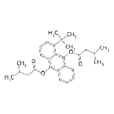 CC(C)CC(=O)Oc1c2ccccc2c(OC(=O)CC(C)C)c2c(C(C)(C)C)cccc12